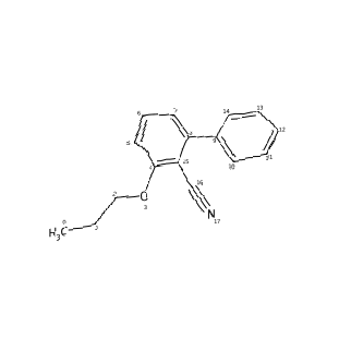 CCCOc1cccc(-c2ccccc2)c1C#N